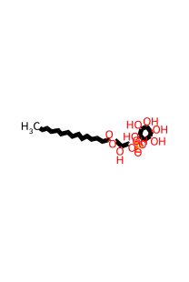 CCCCCCCCCCCCCCC(=O)OCC(O)COP(=O)(O)OC1C(O)C(O)C(O)C(O)C1O